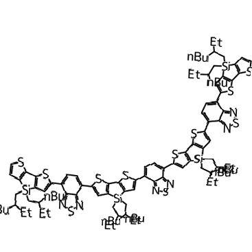 CCCCC(CC)C[Si]1(CC(CC)CCCC)c2ccsc2-c2sc(-c3ccc(-c4cc5c(s4)-c4sc(-c6ccc(-c7cc8c(s7)-c7sc(-c9ccc(-c%10cc%11c(s%10)-c%10sccc%10[Si]%11(CC(CC)CCCC)CC(CC)CCCC)c%10nsnc9%10)cc7[Si]8(CC(CC)CCCC)CC(CC)CCCC)c7nsnc67)cc4[Si]5(CC(CC)CCCC)CC(CC)CCCC)c4nsnc34)cc21